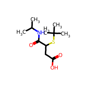 CC(C)NC(=O)C(CC(=O)O)SC(C)(C)C